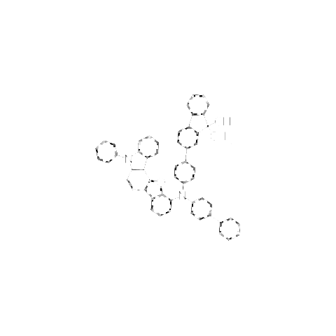 CC1(C)c2ccccc2-c2ccc(-c3ccc(N(c4ccc(-c5ccccc5)cc4)c4cccc5c6c(oc45)C4c5ccccc5N(c5ccccc5)C4C=C6)cc3)cc21